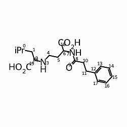 CC(C)C[C@H](NCCC(NC(=O)CCc1ccccc1)C(=O)O)C(=O)O